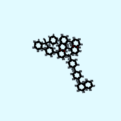 CC1(c2ccccc2)c2ccccc2-c2ccc(-c3ccc(N(c4ccc(-c5ccc(-c6cccc7ccccc67)cc5)cc4)c4ccccc4-c4cccc5cccc(-c6ccccc6)c45)cc3)cc21